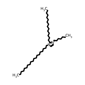 CCCCCCCCCCCCCCCCCCCn1cc[n+](CCCCCCC)c1CCCCCCCCCCCCCCC